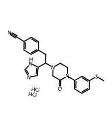 CSc1cccc(N2CCN(C(Cc3ccc(C#N)cc3)c3cnc[nH]3)CC2=O)c1.Cl.Cl